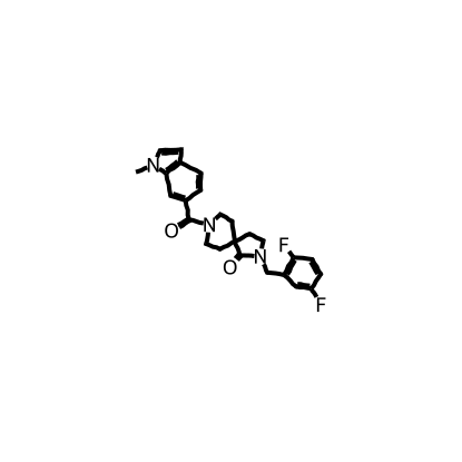 Cn1ccc2ccc(C(=O)N3CCC4(CC3)CCN(Cc3cc(F)ccc3F)C4=O)cc21